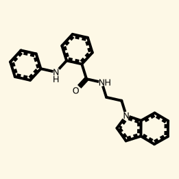 O=C(NCCn1ccc2ccccc21)c1ccccc1Nc1ccccc1